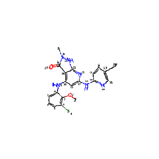 COc1c(F)cccc1Nc1cc(Nc2ccc(C)cn2)nc2[nH]n(C)c(=O)c12